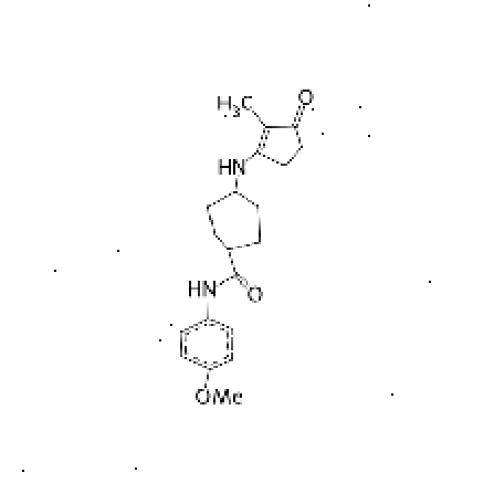 COc1ccc(NC(=O)C2CCC(NC3=C(C)C(=O)CC3)CC2)cc1